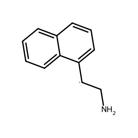 NC[CH]c1cccc2ccccc12